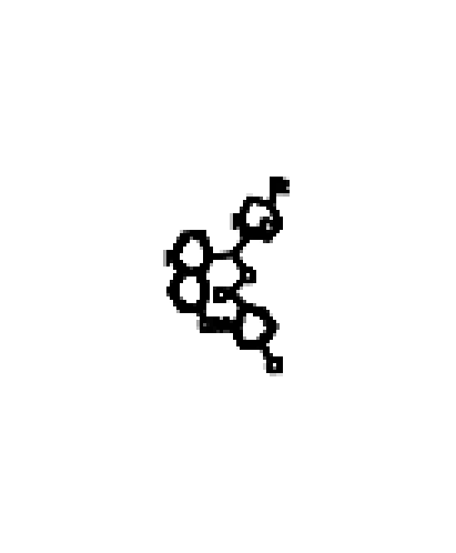 CCC1CN2CCC1CC2C(OC(=O)c1ccc(Cl)cc1)c1ccnc2ccc(OC)cc12